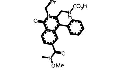 CON(C)C(=O)c1ccc2c(=O)n(CC(C)C)c(CNC(=O)O)c(-c3ccccc3)c2c1